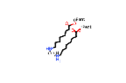 CCCCCOC(=O)CCCCCCCN.CCCCCOC(=O)CCCCCCCNC(=O)O